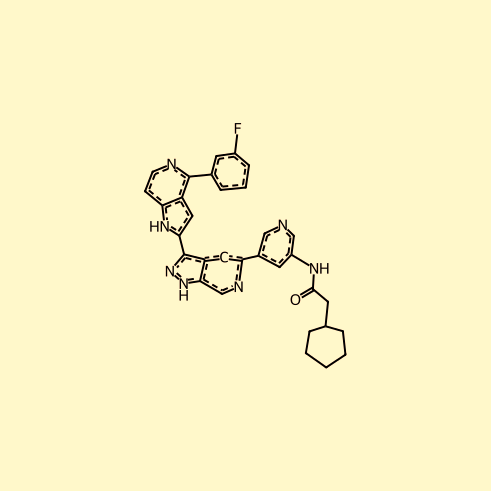 O=C(CC1CCCCC1)Nc1cncc(-c2cc3c(-c4cc5c(-c6cccc(F)c6)nccc5[nH]4)n[nH]c3cn2)c1